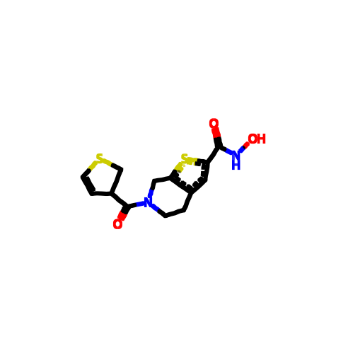 O=C(NO)c1cc2c(s1)CN(C(=O)C1C=CSC1)CC2